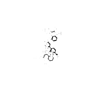 CC(C)CC(Nc1nc(C(F)(F)F)ccc1-c1cc(Oc2cccc3[nH]c(=O)c(N)nc23)ncn1)C1CCCCN1